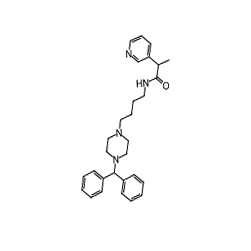 CC(C(=O)NCCCCN1CCN(C(c2ccccc2)c2ccccc2)CC1)c1cccnc1